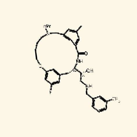 CCCN1CCCCOc2cc(F)cc(c2)C[C@@H]([C@H](O)CNCc2cccc(C(F)(F)F)c2)NC(=O)c2cc(C)cc(c2)C1